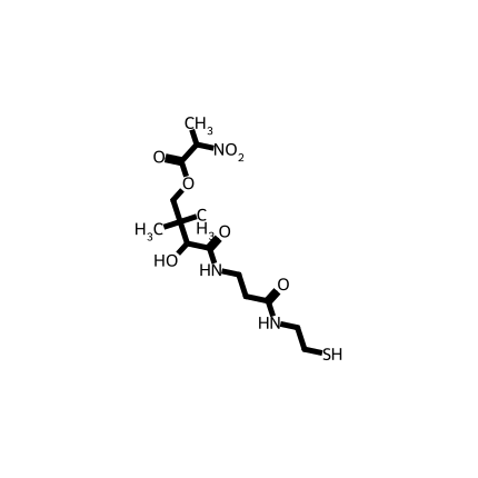 CC(C(=O)OCC(C)(C)C(O)C(=O)NCCC(=O)NCCS)[N+](=O)[O-]